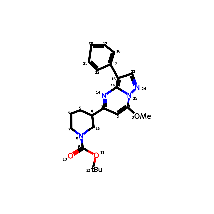 COc1cc(C2CCCN(C(=O)OC(C)(C)C)C2)nc2c(-c3ccccc3)cnn12